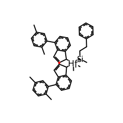 Cc1ccc(C)c(-c2cccc3c2C=C[CH]3[Hf]([CH3])([CH3])([CH]2C=Cc3c(-c4cc(C)ccc4C)cccc32)=[Si](C)CCc2ccccc2)c1